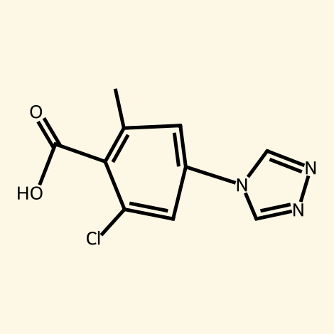 Cc1cc(-n2cnnc2)cc(Cl)c1C(=O)O